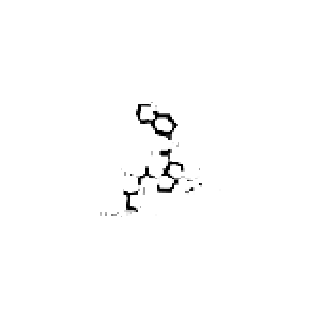 CN[C@@H](C)C(=O)N[C@H](C(=O)N1CC[C@@H]2[C@H]1[C@@H](C(=O)Nc1ccc3ncccc3c1)CN2S(C)(=O)=O)C(C)(C)C